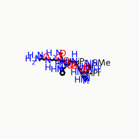 CSCC[C@H](NC(=O)[C@H](CC(C)C)NC(=O)[C@H](Cc1cnc[nH]1)NC(=O)CNC(=O)[C@@H](NC(=O)[C@H](C)NC(=O)[C@H](Cc1c[nH]c2ccccc12)NC(=O)[C@H](CCC(N)=O)NC(=O)CCCCNC(=O)CC(CN)CN)C(C)C)C(N)=O